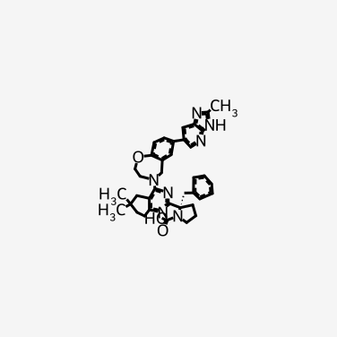 Cc1nc2cc(-c3ccc4c(c3)CN(c3nc([C@@]5(Cc6ccccc6)CCCN5C(=O)O)nc5c3CC(C)(C)CC5)CCO4)cnc2[nH]1